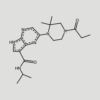 CCC(=O)N1CCN(c2cnc3[nH]cc(C(=O)NC(C)C)c3n2)C(C)(C)C1